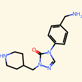 NCc1ccc(-n2cnn(CC3CCNCC3)c2=O)cc1